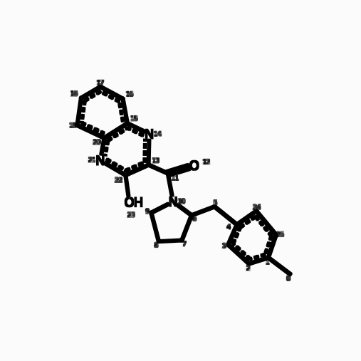 Cc1ccc(CC2CCCN2C(=O)c2nc3ccccc3nc2O)cc1